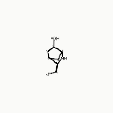 OC1CC2CC1NC2CF